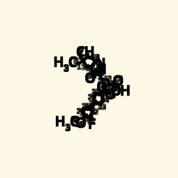 CCC1(CC)C=Cc2nnn(CCC(C(=O)O)S(=O)(=O)c3ccc(-c4ccc(OC)c(F)c4)cc3)c(=O)c2C1